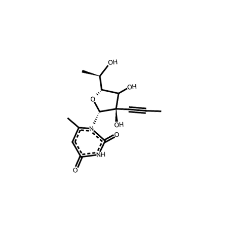 CC#C[C@@]1(O)C(O)[C@@H]([C@@H](C)O)O[C@H]1n1c(C)cc(=O)[nH]c1=O